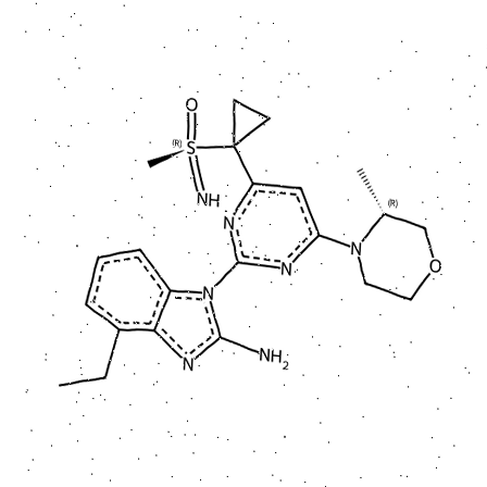 CCc1cccc2c1nc(N)n2-c1nc(N2CCOC[C@H]2C)cc(C2([S@](C)(=N)=O)CC2)n1